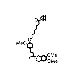 COc1cc2c(cc1OC)CN(C(=O)/C=C/c1ccc(OCCCCCCCC(=O)NO)c(OC)c1)CC2